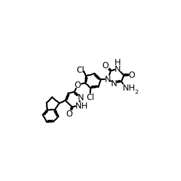 Nc1nn(-c2cc(Cl)c(Oc3cc(C4CCc5ccccc54)c(=O)[nH]n3)c(Cl)c2)c(=O)[nH]c1=O